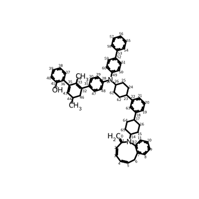 C=C1/C=C\C=C/Cc2ccccc2N1C1CCC(c2cccc(C3CCC(N(c4ccc(C5=C(C)C(c6ccccc6O)=CC(C)C5)cc4)c4ccc(-c5ccccc5)cc4)CC3)c2)CC1